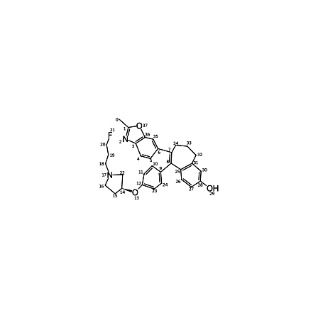 Cc1nc2ccc(C3=C(c4ccc(O[C@H]5CCN(CCCF)C5)cc4)c4ccc(O)cc4CCC3)cc2o1